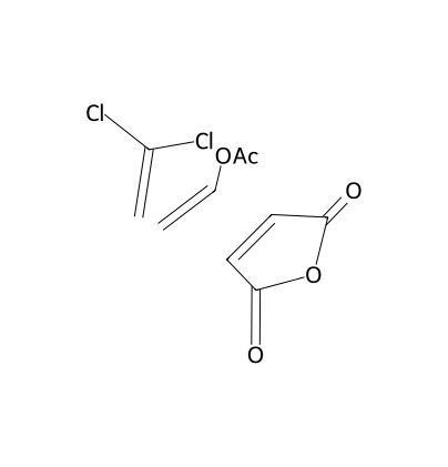 C=C(Cl)Cl.C=COC(C)=O.O=C1C=CC(=O)O1